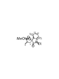 C=C(CC1(O)C(=O)N(CC)c2c(C)ccc(C)c21)C(=O)OC